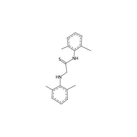 Cc1cccc(C)c1NCC(=S)Nc1c(C)cccc1C